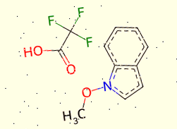 COn1ccc2ccccc21.O=C(O)C(F)(F)F